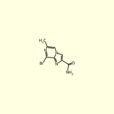 Cc1cn2cc(C(N)=O)nc2c(Br)n1